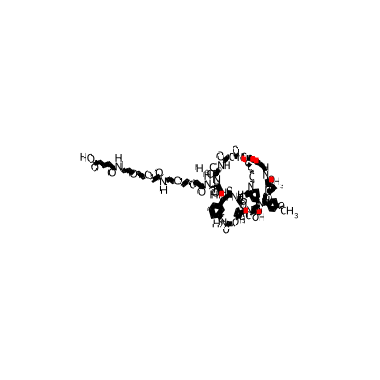 COc1ccc(C[C@@H]2NC(=O)[C@H]([C@@H](C)O)NC(=O)[C@@H]3[C@@H]4CCN3C(=O)[C@@H]3Cc5cn(c6ccc(F)cc56)CCCCCCN(Cc5ccc(cc5)CCNC(=O)[C@]5(C)CCCN5C2=O)C(=O)CCC(=O)N[C@@H](C)C(=O)N[C@H](CNC(=O)COCCOCCNC(=O)COCCOCCNC(=O)CCCC(=O)O)C(=O)N[C@@H](Cc2cccc(c2)CNC(=O)CO4)C(=O)N3)cc1